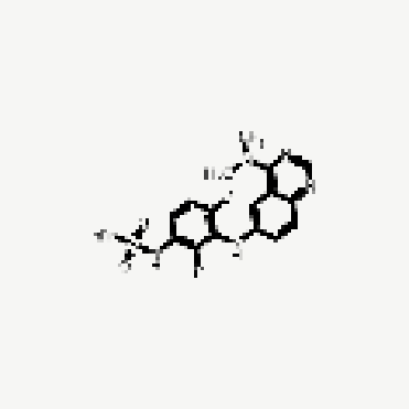 CCCS(=O)(=O)Nc1ccc(F)c(Nc2ccc3ncnc(N(C)C)c3c2)c1Cl